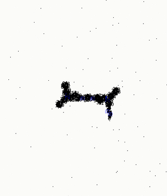 C=C/C=C\C=C/Cc1ccc(N(c2ccc(-c3ccccc3)cc2)c2ccc3c(c2)C(C)(C)c2cc(/C=C/c4ccc(/C=C/c5ccc6c(c5)C(C)(C)c5cc(N(c7ccc(-c8ccccc8)cc7)c7ccc(-c8ccccc8)cc7)ccc5-6)cc4)ccc2-3)cc1